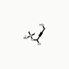 CCC(C#CCO)O[Si](C)(C)C(C)(C)C